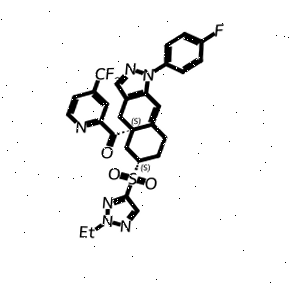 CCn1ncc(S(=O)(=O)[C@H]2CCC3=Cc4c(cnn4-c4ccc(F)cc4)C[C@]3(C(=O)c3cc(C(F)(F)F)ccn3)C2)n1